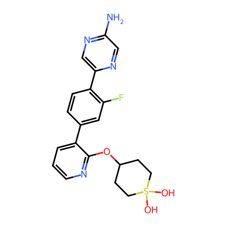 Nc1cnc(-c2ccc(-c3cccnc3OC3CCS(O)(O)CC3)cc2F)cn1